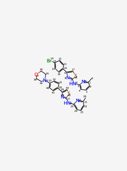 Cc1cccc(Nc2nc(-c3ccc(Br)cc3)cs2)n1.Cc1cccc(Nc2nc(-c3ccc(N4CCOCC4)cc3)cs2)n1